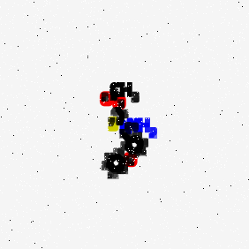 CC(=O)OCCC(=S)N(N)Cc1cccc(Oc2ccccc2)c1